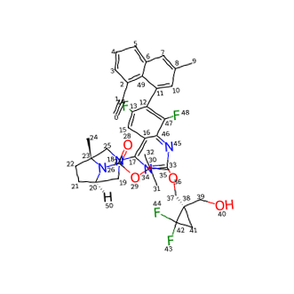 C#Cc1cccc2cc(C)cc(-c3c(F)cc4c(N5C[C@H]6CC[C@](C)(C5)N6C(=O)OC(C)(C)C)nc(OC[C@]5(CO)CC5(F)F)nc4c3F)c12